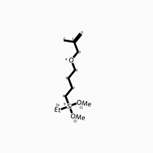 C=C(C)COCCCC[Si](CC)(OC)OC